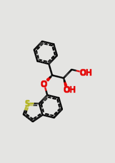 OC[C@@H](O)[C@@H](Oc1cccc2ccsc12)c1ccccc1